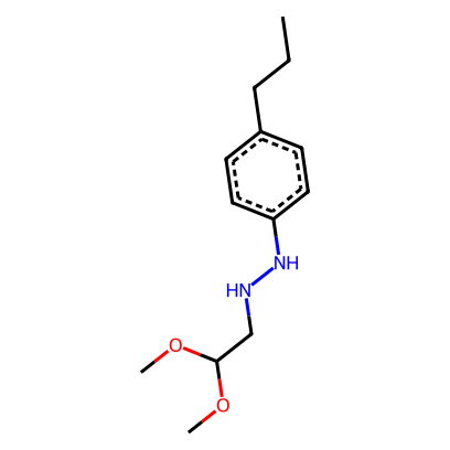 CCCc1ccc(NNCC(OC)OC)cc1